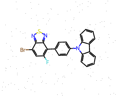 Fc1cc(Br)c2nsnc2c1-c1ccc(-n2c3ccccc3c3ccccc32)cc1